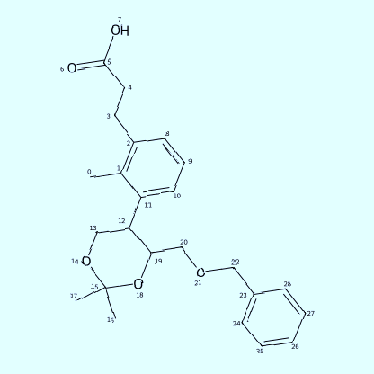 Cc1c(CCC(=O)O)cccc1C1COC(C)(C)OC1COCc1ccccc1